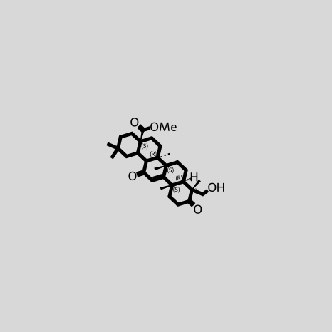 COC(=O)[C@]12CCC(C)(C)CC1C1C(=O)C=C3[C@@]4(C)CCC(=O)[C@@](C)(CO)[C@@H]4CC[C@@]3(C)[C@]1(C)CC2